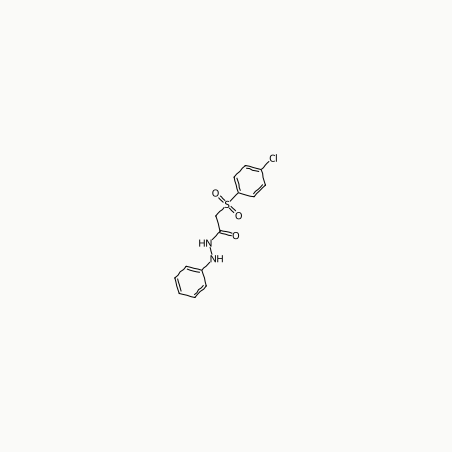 O=C(CS(=O)(=O)c1ccc(Cl)cc1)NNc1ccccc1